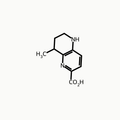 CC1CCNc2ccc(C(=O)O)nc21